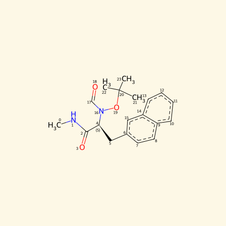 CNC(=O)[C@H](Cc1ccc2ccccc2c1)N(C=O)OC(C)(C)C